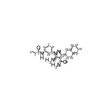 C=CC(=O)Nc1cccc(-n2nc(C3CCc4ccccc4C3)c(C(N)=O)c2N)c1